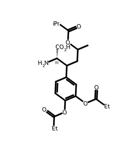 CCC(=O)Oc1ccc(C(CC(C)OC(=O)C(C)C)[C@H](N)C(=O)O)cc1OC(=O)CC